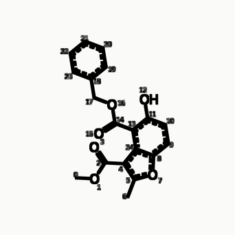 COC(=O)c1c(C)oc2ccc(O)c(C(=O)OCc3ccccc3)c12